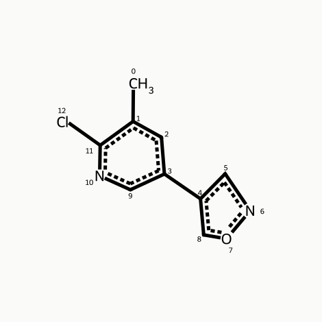 Cc1cc(-c2cnoc2)cnc1Cl